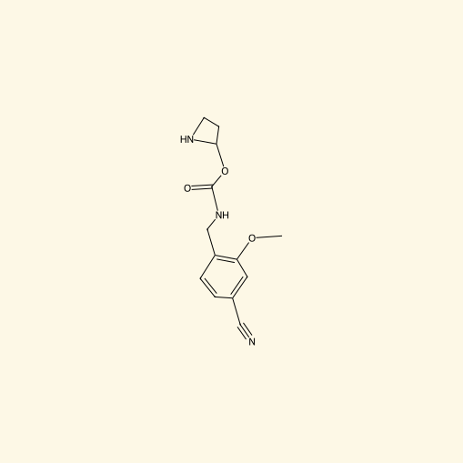 COc1cc(C#N)ccc1CNC(=O)OC1CCN1